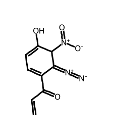 C=CC(=O)C1=CC=C(O)C([N+](=O)[O-])C1=[N+]=[N-]